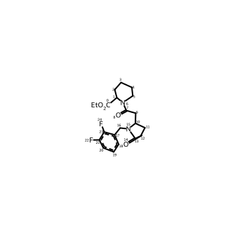 CCOC(=O)C1CCCCN1C(=O)CC1CCC(=O)N1Cc1cccc(F)c1F